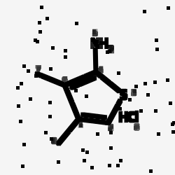 Cc1csc(N)c1C.Cl